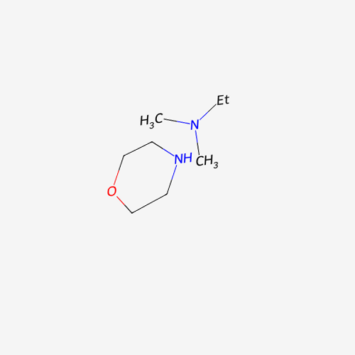 C1COCCN1.CCN(C)C